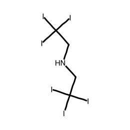 IC(I)(I)CNCC(I)(I)I